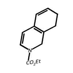 CCOC(=O)N1C=CC2=C(CCC=C2)C1